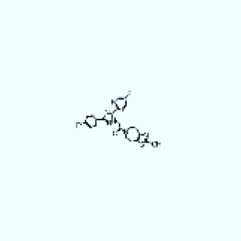 Cc1nc2c(s1)CCN(C(=O)Cn1nc(-c3ccc(F)cc3)nc1-c1ccc(F)cn1)CC2